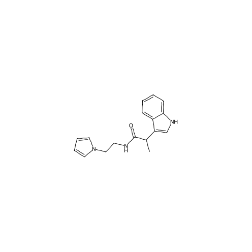 CC(C(=O)NCCn1cccc1)c1c[nH]c2ccccc12